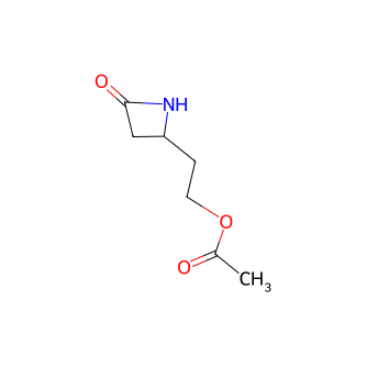 CC(=O)OCCC1CC(=O)N1